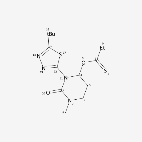 CCC(=S)OC1CCN(C)C(=O)N1c1nnc(C(C)(C)C)s1